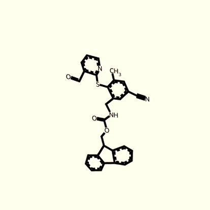 Cc1cc(C#N)cc(CNC(=O)OCC2c3ccccc3-c3ccccc32)c1Sc1ncccc1C=O